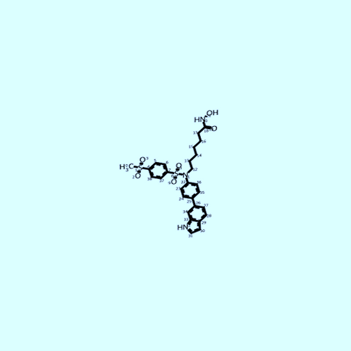 CS(=O)(=O)c1ccc(S(=O)(=O)N(CCCCCCC(=O)NO)c2ccc(-c3ccc4cc[nH]c4c3)cc2)cc1